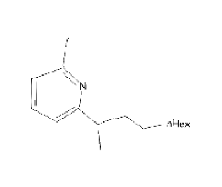 CCCCCCCCC(C)c1cccc(C)n1